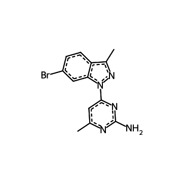 Cc1cc(-n2nc(C)c3ccc(Br)cc32)nc(N)n1